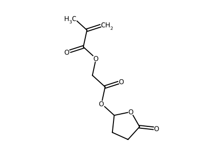 C=C(C)C(=O)OCC(=O)OC1CCC(=O)O1